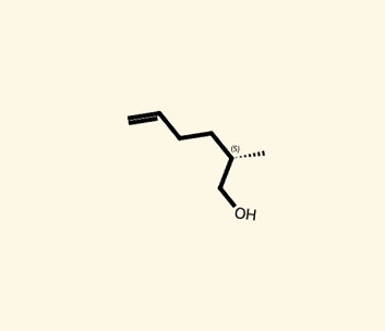 C=CCC[C@H](C)CO